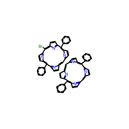 BrC1=C2C=CC(=N2)C(c2ccccc2)=C2C=CC(=N2)C=C2C=CC(=N2)C(c2ccccc2)=C2C=CC1=N2.C1=CC2=NC1=CC1=NC(=C(c3ccccc3)C3=NC(=CC4=NC(=C2c2ccccc2)C=C4)C=C3)C=C1